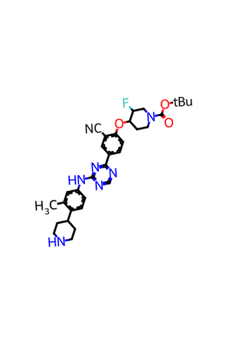 Cc1cc(Nc2ncnc(-c3ccc(OC4CCN(C(=O)OC(C)(C)C)CC4F)c(C#N)c3)n2)ccc1C1CCNCC1